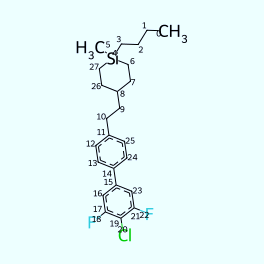 CCCC[Si]1(C)CCC(CCc2ccc(-c3cc(F)c(Cl)c(F)c3)cc2)CC1